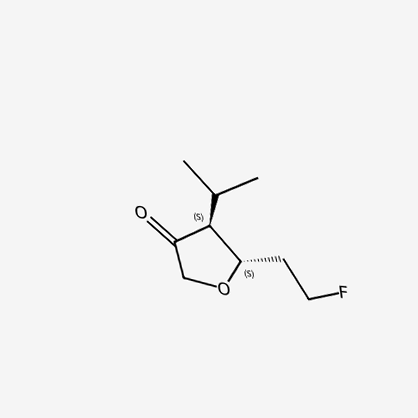 CC(C)[C@@H]1C(=O)CO[C@H]1CCF